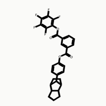 O=C(Oc1ccc(C2C3CCC2C2CCCC23)cc1)c1cccc(C(=O)Oc2c(F)c(F)c(F)c(F)c2F)c1